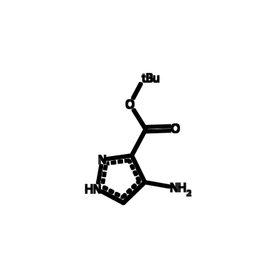 CC(C)(C)OC(=O)c1n[nH]cc1N